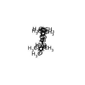 COc1cc(OC)c(NC(=O)c2ccc(Oc3cc4c(cc3Cl)[Si](C)(C)CC[Si]4(C)C)o2)c(OC)c1